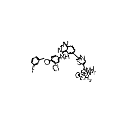 CCCN[C@@H](CS(C)(=O)=O)c1cnc(-c2ccc3ncnc(Nc4ccc(OCc5cccc(F)c5)c(Cl)c4)c3c2)s1